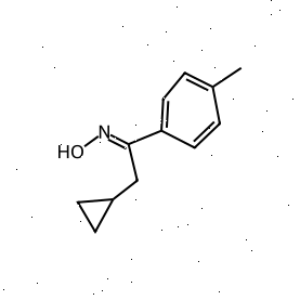 Cc1ccc(/C(CC2CC2)=N/O)cc1